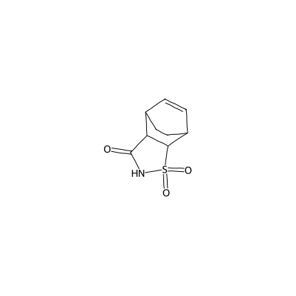 O=C1NS(=O)(=O)C2C3C=CC(CC3)C12